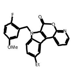 CCc1ccc2c(c1)c1c3cccnc3oc(=O)c1n2Cc1cc(OC)ccc1F